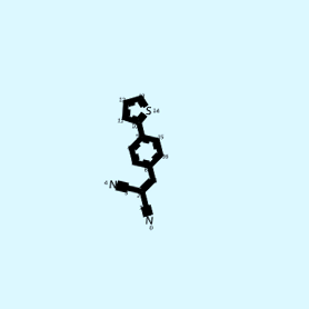 N#CC(C#N)=Cc1ccc(-c2cccs2)cc1